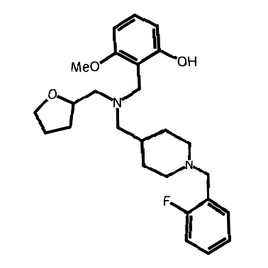 COc1cccc(O)c1CN(CC1CCN(Cc2ccccc2F)CC1)CC1CCCO1